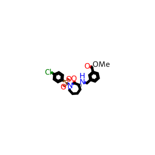 COC(=O)c1cccc(CN[C@@H]2CCCCN(S(=O)(=O)c3ccc(Cl)cc3)C2=O)c1